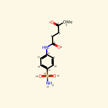 COC(=O)CCC(=O)Nc1ccc(S(N)(=O)=O)cc1